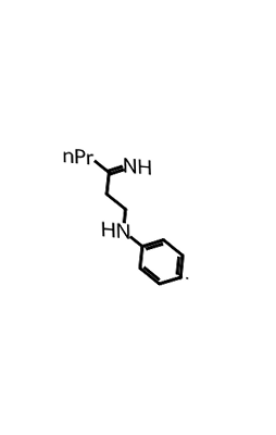 CCCC(=N)CCNc1cc[c]cc1